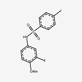 COc1ccc(NS(=O)(=O)c2ccc(I)cc2)cc1F